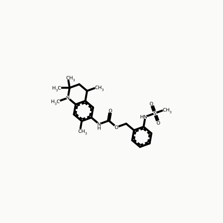 Cc1cc2c(cc1NC(=O)OCc1ccccc1NS(C)(=O)=O)C(C)CC(C)(C)N2C